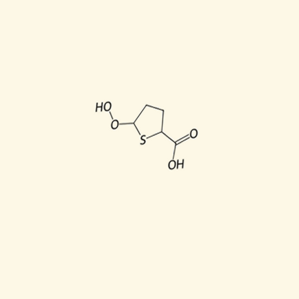 O=C(O)C1CCC(OO)S1